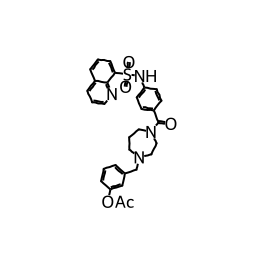 CC(=O)Oc1cccc(CN2CCCN(C(=O)c3ccc(NS(=O)(=O)c4cccc5cccnc45)cc3)CC2)c1